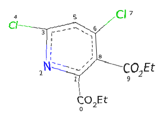 CCOC(=O)c1nc(Cl)cc(Cl)c1C(=O)OCC